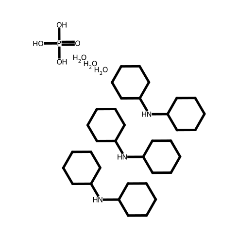 C1CCC(NC2CCCCC2)CC1.C1CCC(NC2CCCCC2)CC1.C1CCC(NC2CCCCC2)CC1.O.O.O.O=P(O)(O)O